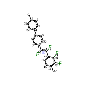 Cc1ccc(-c2ccc(/C(F)=C(\F)c3ccc(C)c(F)c3F)cc2)cc1